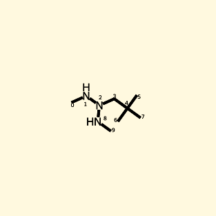 CNN(CC(C)(C)C)NC